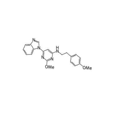 COc1ccc(CCNc2cc(-n3cnc4ccccc43)nc(OC)n2)cc1